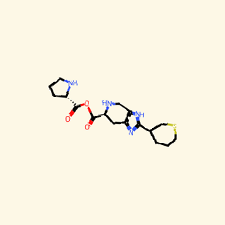 O=C(OC(=O)[C@@H]1Cc2nc(C3CCCSC3)[nH]c2CN1)[C@@H]1CCCN1